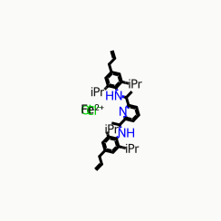 C=CCc1cc(C(C)C)c(NC(C)c2cccc(C(C)Nc3c(C(C)C)cc(CC=C)cc3C(C)C)n2)c(C(C)C)c1.[Cl-].[Cl-].[Fe+2]